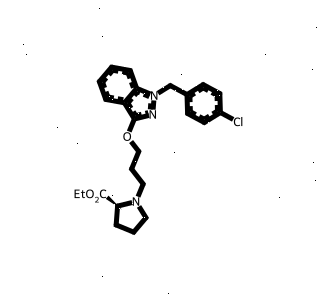 CCOC(=O)[C@@H]1CCCN1CCCOc1nn(Cc2ccc(Cl)cc2)c2ccccc12